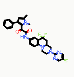 Cc1cc(-c2ccccc2)c(C(=O)C(=O)Nc2ccc3c(c2)C(F)(F)CC2CN(c4ncc(F)cn4)CCN32)n1C